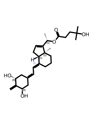 C=C1[C@H](O)CC(=C/C=C2\CCC[C@]3(C)C([C@H](C)OC(=O)CCC(C)(C)O)=CC[C@@H]23)C[C@H]1O